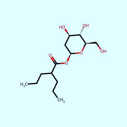 CCCC(CCC)C(=O)O[C@H]1C[C@@H](O)[C@H](O)[C@@H](CO)O1